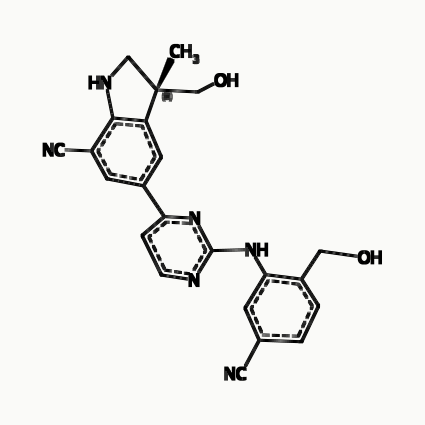 C[C@]1(CO)CNc2c(C#N)cc(-c3ccnc(Nc4cc(C#N)ccc4CO)n3)cc21